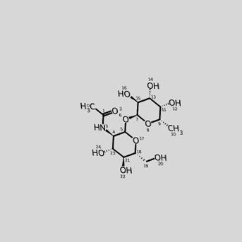 CC(=O)N[C@H]1C(O[C@@H]2O[C@@H](C)[C@@H](O)[C@@H](O)[C@@H]2O)O[C@H](CO)[C@@H](O)[C@@H]1O